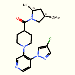 CO[C@@H]1C[C@H](C#N)N(C(=O)C2CCN(c3cnccc3-n3cc(Cl)cn3)CC2)C1